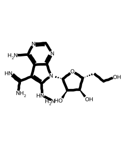 N=C(N)c1c(NN)n([C@@H]2O[C@H](CCO)[C@@H](O)[C@H]2O)c2ncnc(N)c12